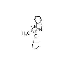 Cc1nn2c(ncc3ccccc32)c1OCC1CCCCC1